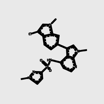 Cn1ccc(S(=O)(=O)Nc2ccnc3c2c(-c2ccc4c(Cl)cn(C)c4c2)cn3C)n1